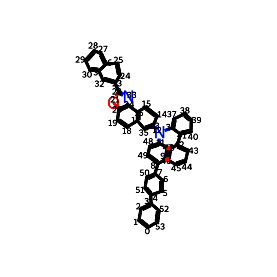 c1ccc(-c2ccc(-c3ccc(N(c4ccc5c(ccc6oc(-c7ccc8ccccc8c7)nc65)c4)c4ccccc4-c4ccccc4)cc3)cc2)cc1